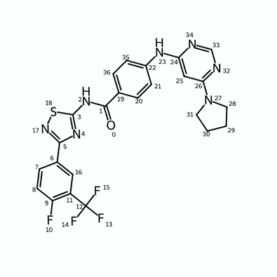 O=C(Nc1nc(-c2ccc(F)c(C(F)(F)F)c2)ns1)c1ccc(Nc2cc(N3CCCC3)ncn2)cc1